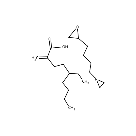 C(CCN1CC1)CC1CO1.C=C(CCC(CC)CCCC)C(=O)O